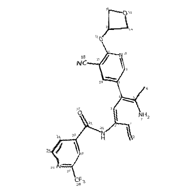 C=C/C(=C\C(=C(\C)N)c1cnc(OC2COC2)c(C#N)c1)NC(=O)c1ccnc(C(F)(F)F)c1